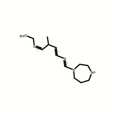 COC/N=C\C(C)/C=C/N=C/N1CCCNCC1